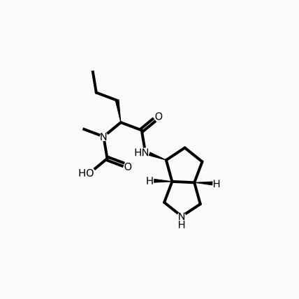 CCC[C@@H](C(=O)N[C@H]1CC[C@@H]2CNC[C@@H]21)N(C)C(=O)O